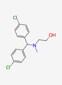 CN(CCO)C(c1ccc(Cl)cc1)c1ccc(Cl)cc1